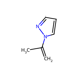 C=C(C)n1cc[c]n1